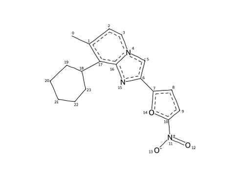 Cc1ccn2[c]c(-c3ccc([N+](=O)[O-])o3)nc2c1C1CCCCC1